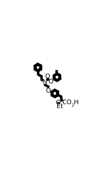 CCOC(Cc1ccc(OCCN(CCCc2ccccc2)C(=O)Oc2cccc(C)c2)cc1)C(=O)O